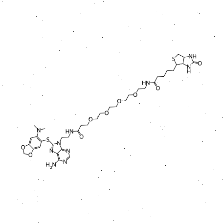 CN(C)c1cc2c(cc1Sc1nc3c(N)ncnc3n1CCNC(=O)CCOCCOCCOCCOCCNC(=O)CCCCC1SCC3NC(=O)NC31)OCO2